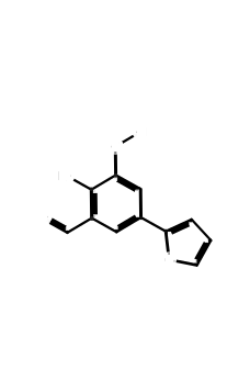 COc1cc(-c2ccco2)cc(C=O)c1O